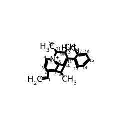 C=Cc1cc[n+]2c3c1C(C)C3=C(c1ccccc1C)C(C)C2C